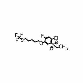 CCS(=O)(=O)c1cc(OCCCCCSC(F)(F)F)c(F)cc1Cl